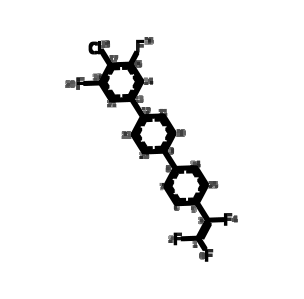 FC(F)=C(F)c1ccc(-c2ccc(-c3cc(F)c(Cl)c(F)c3)cc2)cc1